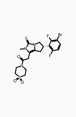 Cn1c(CC(=O)N2CCS(=O)(=O)CC2)c2n(c1=S)C[C@H](c1c(F)ccc(Br)c1F)C2